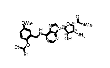 CCC(CC)Oc1ccc(OC)cc1CNc1ncnc2c1ncn2[C@@H]1O[C@H](C(=O)NC)[C@@H](N)[C@H]1O